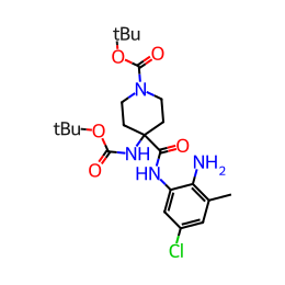 Cc1cc(Cl)cc(NC(=O)C2(NC(=O)OC(C)(C)C)CCN(C(=O)OC(C)(C)C)CC2)c1N